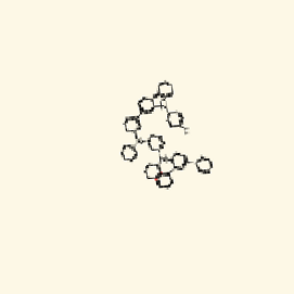 Fc1ccc(-n2c3ccccc3c3ccc(-c4cccc(N(c5ccccc5)c5cccc(N(c6ccccc6)c6ccc(-c7ccccc7)cc6-c6ccccc6)c5)c4)cc32)cc1